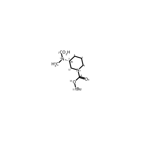 CN(C(=O)O)[C@@H]1CCCN(C(=O)OC(C)(C)C)C1